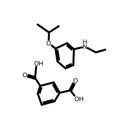 CCNc1cccc(OC(C)C)c1.O=C(O)c1cccc(C(=O)O)c1